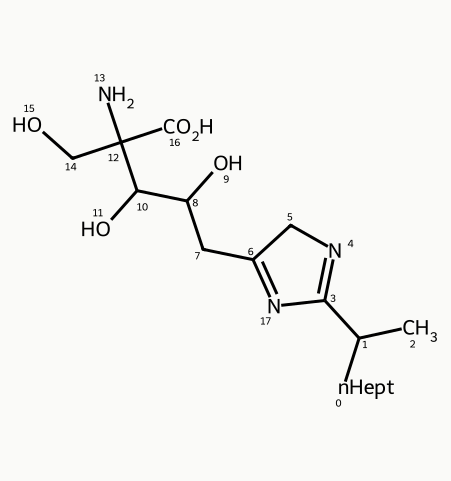 CCCCCCCC(C)C1=NCC(CC(O)C(O)C(N)(CO)C(=O)O)=N1